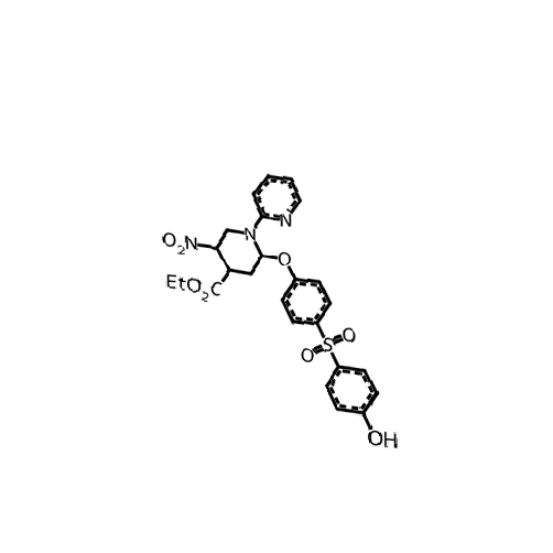 CCOC(=O)C1CC(Oc2ccc(S(=O)(=O)c3ccc(O)cc3)cc2)N(c2ccccn2)CC1[N+](=O)[O-]